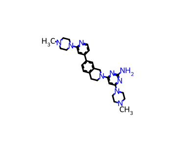 CN1CCN(c2cc(-c3ccc4c(c3)CN(c3cc(N5CCN(C)CC5)nc(N)n3)CC4)ccn2)CC1